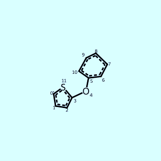 [c]1ccc(Oc2ccccc2)s1